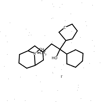 C[N+]1(C)C2CCCC1CC(CC(O)(C1CCCCC1)C1CCCCC1)C2.[I-]